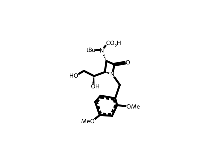 COc1ccc(CN2C(=O)[C@@H](N(C(=O)O)C(C)(C)C)[C@H]2[C@@H](O)CO)c(OC)c1